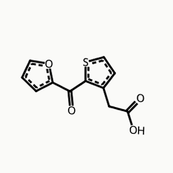 O=C(O)Cc1ccsc1C(=O)c1ccco1